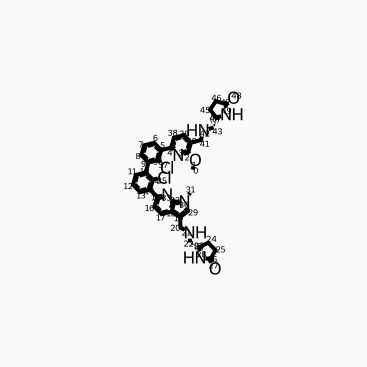 COc1nc(-c2cccc(-c3cccc(-c4ccc5c(CNC[C@@H]6CCC(=O)N6)cn(C)c5n4)c3Cl)c2Cl)ccc1CNC[C@@H]1CCC(=O)N1